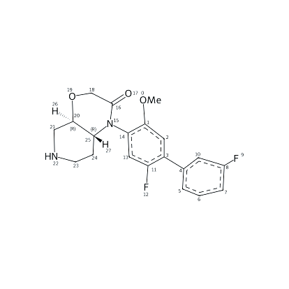 COc1cc(-c2cccc(F)c2)c(F)cc1N1C(=O)CO[C@@H]2CNCC[C@H]21